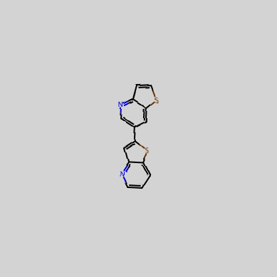 c1cnc2cc(-c3cnc4ccsc4c3)sc2c1